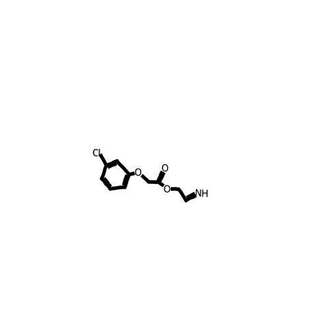 N=CCOC(=O)COc1cccc(Cl)c1